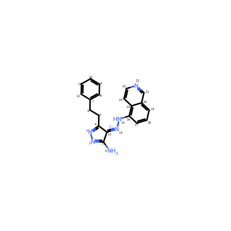 NC1=NN=C(CCc2ccccc2)/C1=N\Nc1cccc2cnccc12